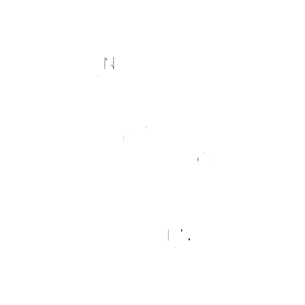 CC(N)CCC(=O)CCC(=O)CCCN